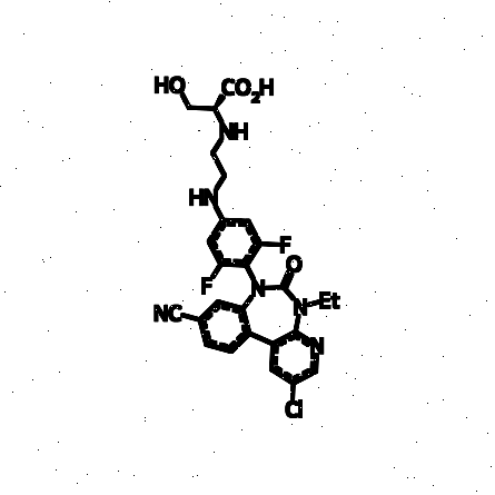 CCN1C(=O)N(c2c(F)cc(NCCN[C@@H](CO)C(=O)O)cc2F)c2cc(C#N)ccc2-c2cc(Cl)cnc21